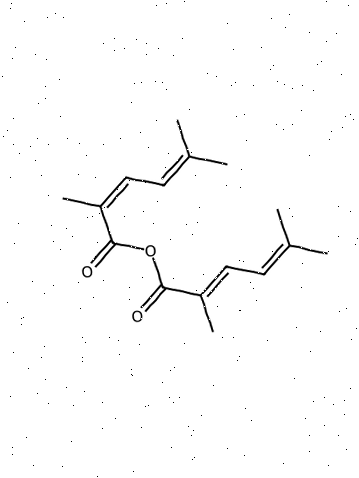 CC(C)=CC=C(C)C(=O)OC(=O)C(C)=CC=C(C)C